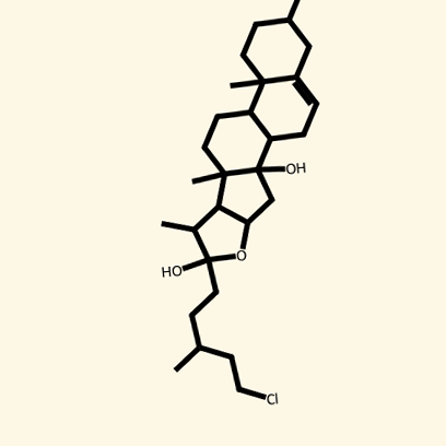 CC(CCCl)CCC1(O)OC2CC3(O)C4CC=C5CC(C)CCC5(C)C4CCC3(C)C2C1C